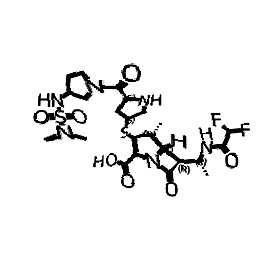 C[C@@H](NC(=O)C(F)F)[C@H]1C(=O)N2C(C(=O)O)=C(S[C@@H]3CN[C@H](C(=O)N4CCC(NS(=O)(=O)N(C)C)C4)C3)[C@H](C)[C@H]12